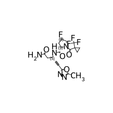 Cc1nnc(C#C[C@H](CC(N)=O)NC(=O)[C@@H]2C[C@@H](F)CN2C(=O)C2(C(F)(F)F)CC2)o1